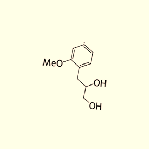 COc1c[c]ccc1CC(O)CO